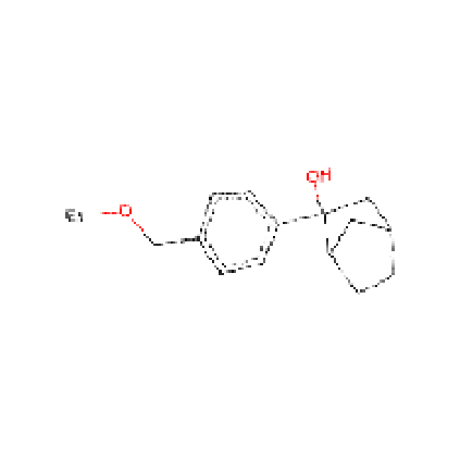 CCOCc1ccc(C2(O)CC3CCC2C3)cc1